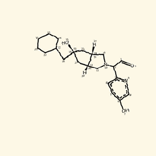 O=CC(c1ccc(O)cn1)N1C[C@@H]2C[C@](O)(CC3CCCCC3)C[C@@H]2C1